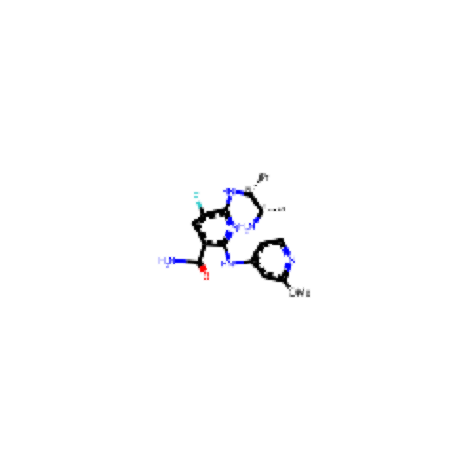 COc1cc(Nc2nc(N[C@H](C(C)C)[C@H](C)N)c(F)cc2C(N)=O)ccn1